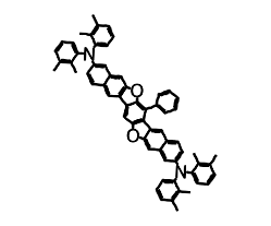 Cc1cccc(N(c2ccc3cc4c(cc3c2)oc2c(-c3ccccc3)c3c(cc24)oc2cc4cc(N(c5cccc(C)c5C)c5cccc(C)c5C)ccc4cc23)c2cccc(C)c2C)c1C